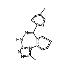 Cc1ccc(C2=NNc3nnc(C)n3-c3ccccc32)cc1